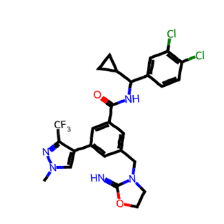 Cn1cc(-c2cc(CN3CCOC3=N)cc(C(=O)NC(c3ccc(Cl)c(Cl)c3)C3CC3)c2)c(C(F)(F)F)n1